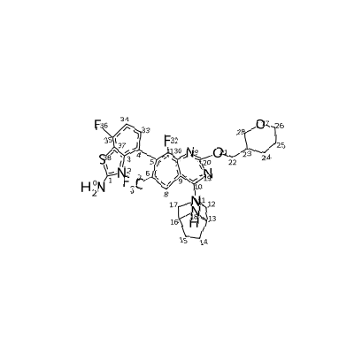 Nc1nc2c(-c3c(C(F)(F)F)cc4c(N5CC6CCC(C5)N6)nc(OCC5CCCOC5)nc4c3F)ccc(F)c2s1